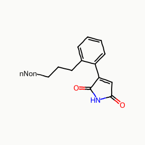 CCCCCCCCCCCCc1ccccc1C1=CC(=O)NC1=O